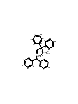 CCN(CC)C(C=C=C(c1ccccc1)c1ccccc1)(c1ccccc1)c1ccccc1